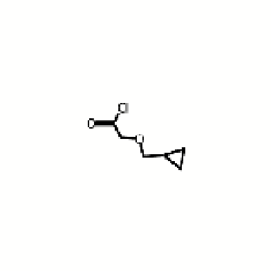 O=C(Cl)COCC1CC1